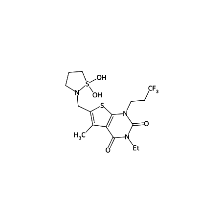 CCn1c(=O)c2c(C)c(CN3CCCS3(O)O)sc2n(CCC(F)(F)F)c1=O